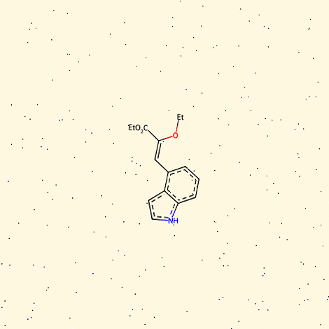 CCOC(=O)C(=Cc1cccc2[nH]ccc12)OCC